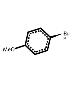 CC[C@H](C)c1ccc(OC)cc1